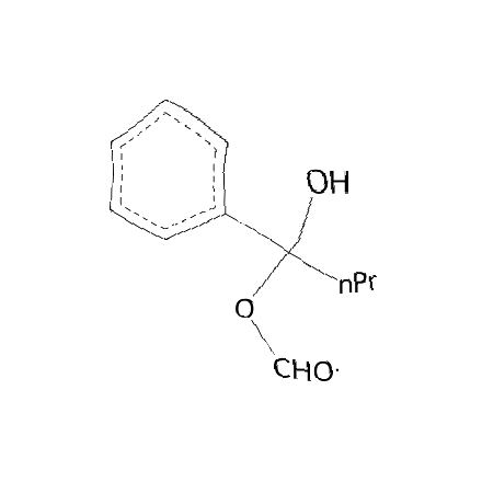 CCCC(O)(O[C]=O)c1ccccc1